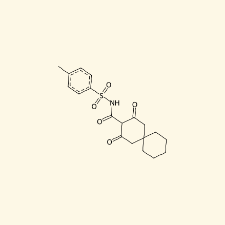 Cc1ccc(S(=O)(=O)NC(=O)C2C(=O)CC3(CCCCC3)CC2=O)cc1